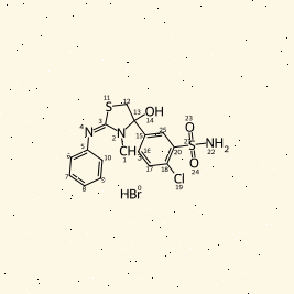 Br.CN1/C(=N\c2ccccc2)SCC1(O)c1ccc(Cl)c(S(N)(=O)=O)c1